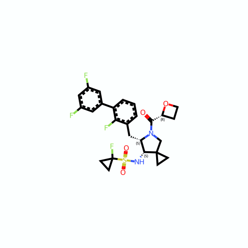 O=C([C@H]1CCO1)N1CC2(CC2)[C@H](NS(=O)(=O)C2(F)CC2)[C@@H]1Cc1cccc(-c2cc(F)cc(F)c2)c1F